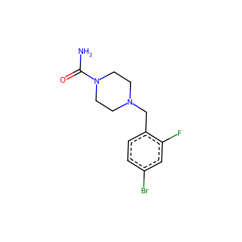 NC(=O)N1CCN(Cc2ccc(Br)cc2F)CC1